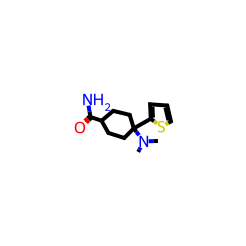 CN(C)C1(c2cccs2)CCC(C(N)=O)CC1